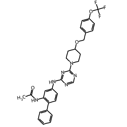 CC(=O)Nc1cc(Nc2ncnc(N3CCC(OCc4ccc(OC(F)(F)F)cc4)CC3)n2)ccc1-c1ccccc1